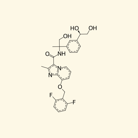 Cc1nc2c(OCc3c(F)cccc3F)cccn2c1C(=O)NC(C)(CO)c1cccc([C@@H](O)CO)c1